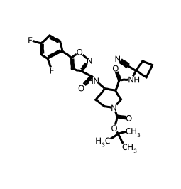 CC(C)(C)OC(=O)N1CCC(NC(=O)c2cc(-c3ccc(F)cc3F)on2)C(C(=O)NC2(C#N)CCC2)C1